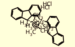 C[Si](C)(C)[Zr](=[SiH2])([c]1cccc2c1Cc1ccccc1-2)([c]1cccc2c1Cc1ccccc1-2)[Si](C)(C)C.Cl.Cl